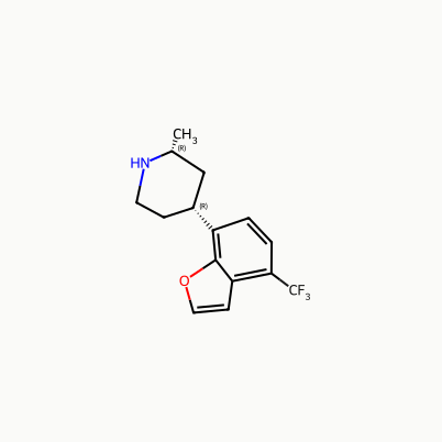 C[C@@H]1C[C@H](c2ccc(C(F)(F)F)c3ccoc23)CCN1